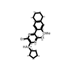 CCc1nc(-c2cc3c(cc2OC)CCCC3)c(CC)nc1[AsH]C1CCCC1